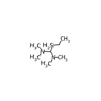 CC[SiH2]C(N(C)C)N(C)C